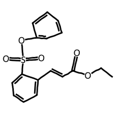 CCOC(=O)/C=C/c1ccccc1S(=O)(=O)Oc1ccccc1